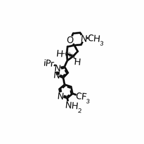 CC(C)n1nc(-c2cnc(N)c(C(F)(F)F)c2)cc1C1[C@H]2CC3(C[C@@H]12)CN(C)CCO3